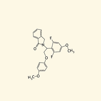 COc1ccc(OCC(c2c(F)cc(OC)cc2F)N2Cc3ccccc3C2=O)cc1